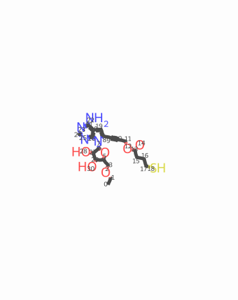 CCOCC1OC(n2c(C#CCOC(=O)CCCS)cc3c(N)ncnc32)C(O)C1O